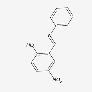 O=[N+]([O-])c1ccc(O)c(/C=N/c2ccccc2)c1